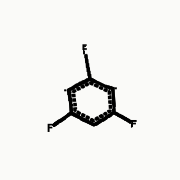 Fc1[c]c(F)cc(F)[c]1